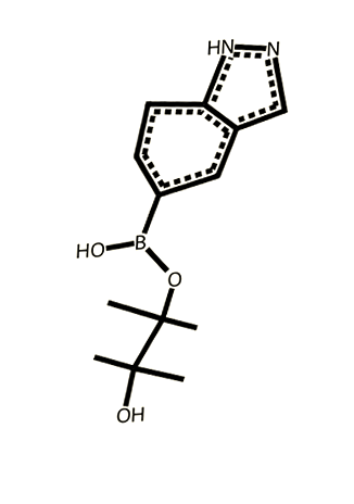 CC(C)(O)C(C)(C)OB(O)c1ccc2[nH]ncc2c1